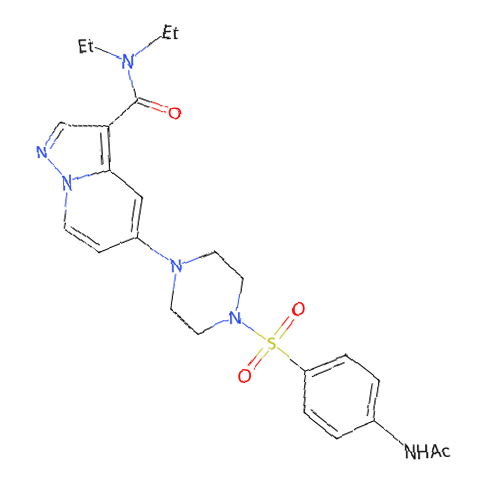 CCN(CC)C(=O)c1cnn2ccc(N3CCN(S(=O)(=O)c4ccc(NC(C)=O)cc4)CC3)cc12